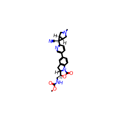 COC(=O)NC[C@@H]1OC(=O)N2c3ccc(-c4ccc([C@@]5(C#N)[C@@H]6CN(C)C[C@@H]65)nc4)cc3C[C@@H]12